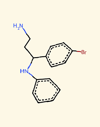 NCCC(Nc1ccccc1)c1ccc(Br)cc1